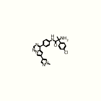 Cn1cc(-c2cc3c(-c4ccc(NC(=O)C(C)(N)c5ccc(Cl)cc5)cc4)ncnn3c2)cn1